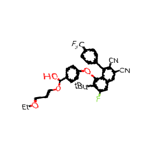 CCOCCCOC(O)c1ccc(Oc2c(C(C)(C)C)c(F)cc3cc(C#N)c(C#N)c(-c4ccc(C(F)(F)F)cc4)c23)cc1